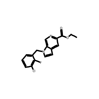 CCOC(=O)c1cc2ccn(Cc3cccc(Cl)c3F)c2cn1